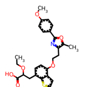 CCOC(Cc1ccc(OCCc2nc(-c3ccc(OC)cc3)oc2C)c2ccsc12)C(=O)O